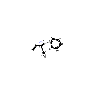 C=C/C(C#N)=C/c1ccccc1